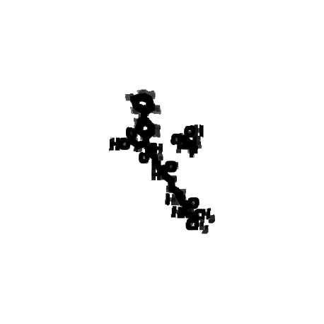 CC(C)NC(=O)NCCCCC(=O)NCC(=O)NC(CC(=O)O)c1ccc(-c2ccccc2)cc1.O=C(O)C(F)(F)F